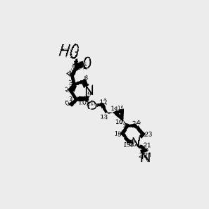 Cc1cc(CC(=O)O)cnc1OCC[C@@H]1C[C@@H]1C1CCN(C#N)CC1